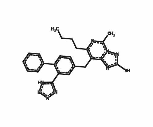 CCCCc1nc(C)n2nc(S)nc2c1Cc1ccc(-c2ccccc2)c(-c2nnn[nH]2)c1